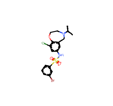 CC(C)N1CCOc2c(Cl)cc(NS(=O)(=O)c3cccc(Br)c3)cc2C1